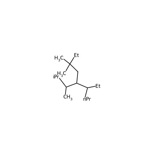 CCCC(CC)C(CC(C)(C)CC)C(C)C(C)C